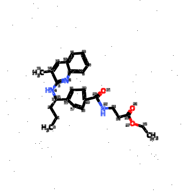 CCC[C@@H](Nc1nc2ccccc2cc1C)c1ccc(C(=O)NCCC(=O)OCC)cc1